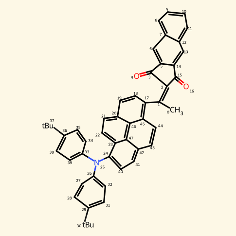 CC(=C1C(=O)c2cc3ccccc3cc2C1=O)c1ccc2ccc3c(N(c4ccc(C(C)(C)C)cc4)c4ccc(C(C)(C)C)cc4)ccc4ccc1c2c43